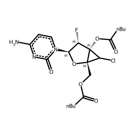 CCCCC(=O)OC[C@@]12O[C@@H](n3ccc(N)nc3=O)[C@H](F)[C@@]1(OC(=O)CCCC)C2Cl